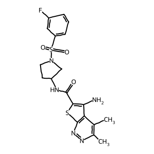 Cc1nnc2sc(C(=O)NC3CCN(S(=O)(=O)c4cccc(F)c4)C3)c(N)c2c1C